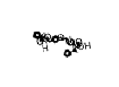 O=C(Cc1ccc(OCCN2CCC(N(C(=O)O)[C@@H]3C[C@H]3c3ccccc3)CC2)cc1)NS(=O)(=O)c1ccccc1